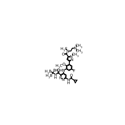 BC(B)(B)NC(=O)c1nnc(NC(=O)C2CC2)cc1Nc1cc(F)cc(-c2cc(C(=O)N(C)CCN(C)C)n(C)n2)c1OC